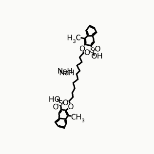 Cc1c(OCCCCCCCCCCCCOc2c(S(=O)(=O)O)cc3ccccc3c2C)c(S(=O)(=O)O)cc2ccccc12.[NaH].[NaH]